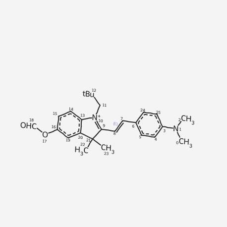 CN(C)c1ccc(/C=C/C2=[N+](CC(C)(C)C)c3ccc(OC=O)cc3C2(C)C)cc1